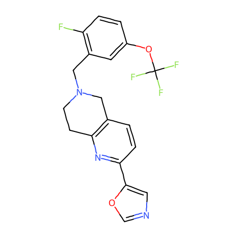 Fc1ccc(OC(F)(F)F)cc1CN1CCc2nc(-c3cnco3)ccc2C1